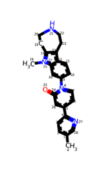 Cc1ccc(-c2ccn(-c3ccc4c5c(n(C)c4c3)CCNCC5)c(=O)c2)nc1